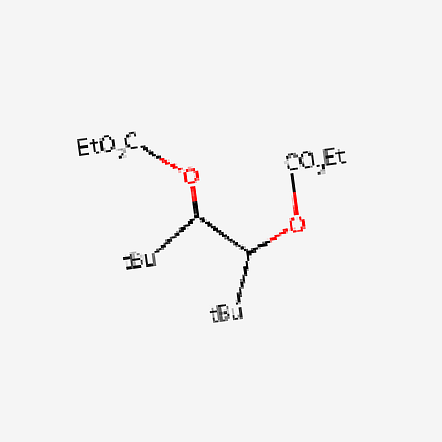 CCOC(=O)OC(C(OC(=O)OCC)C(C)(C)C)C(C)(C)C